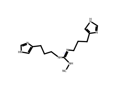 N#CN/C(=N\CCCc1c[nH]cn1)NCCCc1c[nH]cn1